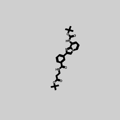 CC(C)(C)OC(=O)CCNC(=O)c1cccc(-c2cn3cccc(NC(=O)OC(C)(C)C)c3n2)c1